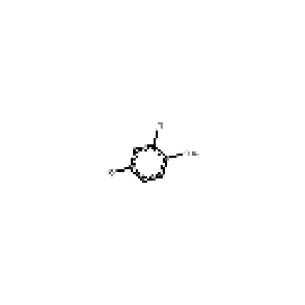 O=[C]c1ccc(O)cc1Cl